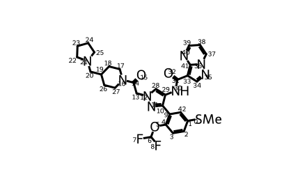 CSc1ccc(OC(F)F)c(-c2nn(CC(=O)N3CCC(CN4CCCC4)CC3)cc2NC(=O)c2cnn3cccnc23)c1